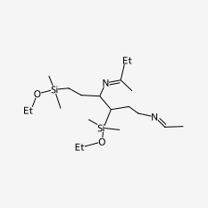 CC=NCCC(C(CC[Si](C)(C)OCC)N=C(C)CC)[Si](C)(C)OCC